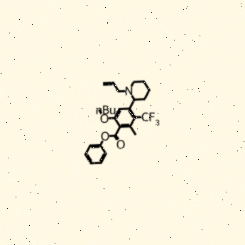 C=CCN1CCCCC1c1cc(OCCCC)c(C(=O)Oc2ccccc2)c(C)c1C(F)(F)F